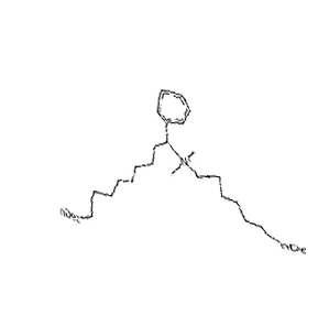 CCCCCCCCCCCCCCCCCCC(c1ccccc1)[N+](C)(C)CCCCCCCCCCCCCCCC